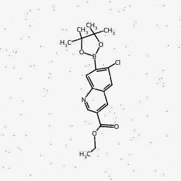 CCOC(=O)c1cnc2cc(B3OC(C)(C)C(C)(C)O3)c(Cl)cc2c1